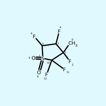 CC1(F)C(F)C(F)S(=O)(=O)C1(F)F